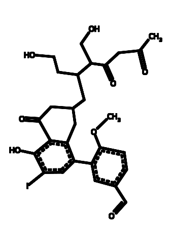 COc1ccc(C=O)cc1-c1cc(I)c(O)c2c1CC(CC(CCO)C(CO)C(=O)CC(C)=O)CC2=O